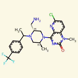 CC(c1ccc(C(F)(F)F)cc1)N1C[C@H](C)N(c2nc(=O)n(C)c3ccc(Cl)nc23)C[C@H]1CN